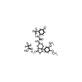 COc1ccc(C23CCC(NC(=O)Nc4ccc(Cl)cc4C(F)(F)F)CC2N(C)CC3)cc1OC.O=C(O)C(F)(F)F